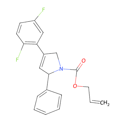 C=CCOC(=O)N1CC(c2cc(F)ccc2F)=CC1c1ccccc1